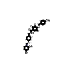 N=C1C=C(Br)C=C/C1=C/NC1CCC(CNC(=O)c2cc(F)c(OCc3ccc(O)cc3)c(F)c2F)CC1